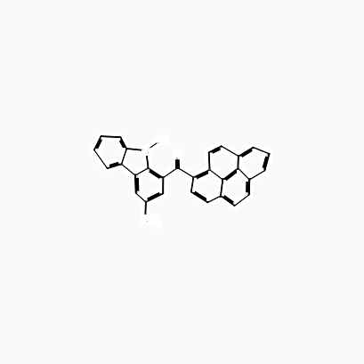 CCn1c2ccccc2c2cc(N)cc(C(=O)c3ccc4ccc5cccc6ccc3c4c56)c21